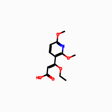 CCOC(=CC(=O)O)c1ccc(OC)nc1OC